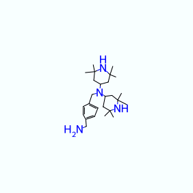 CC1(C)CC(N(Cc2ccc(CN)cc2)C2CC(C)(C)NC(C)(C)C2)CC(C)(C)N1